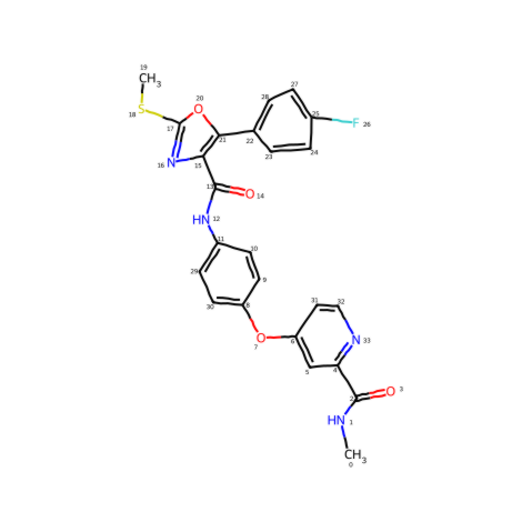 CNC(=O)c1cc(Oc2ccc(NC(=O)c3nc(SC)oc3-c3ccc(F)cc3)cc2)ccn1